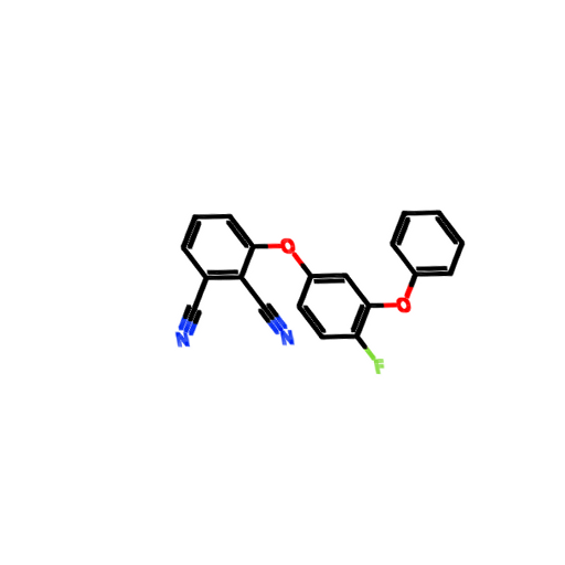 N#Cc1cccc(Oc2ccc(F)c(Oc3ccccc3)c2)c1C#N